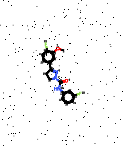 COc1cc(C2=NN(C(=O)Nc3cccc(F)c3)CC2)ccc1F